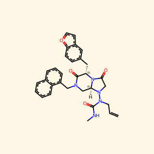 C=CCN(C(=O)NC)N1CC(=O)N2[C@@H](Cc3ccc4occc4c3)C(=O)N(Cc3cccc4ccccc34)C[C@@H]21